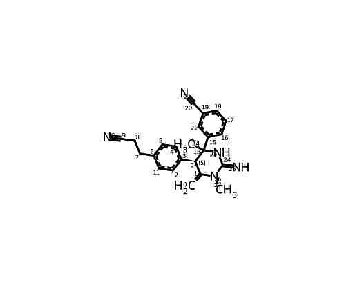 C=C1[C@@H](c2ccc(CCC#N)cc2)C(C)(c2cccc(C#N)c2)NC(=N)N1C